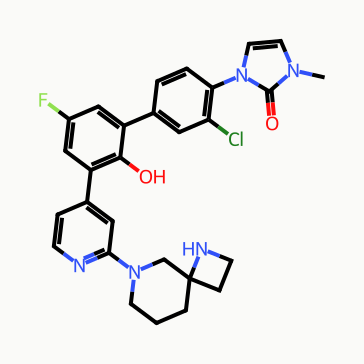 Cn1ccn(-c2ccc(-c3cc(F)cc(-c4ccnc(N5CCCC6(CCN6)C5)c4)c3O)cc2Cl)c1=O